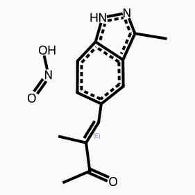 CC(=O)/C(C)=C/c1ccc2[nH]nc(C)c2c1.O=NO